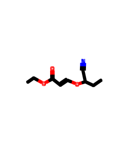 CCOC(=O)C=COC(C#N)CC